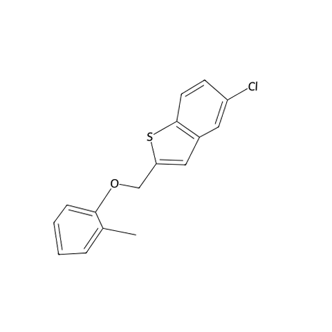 Cc1ccccc1OCc1cc2cc(Cl)ccc2s1